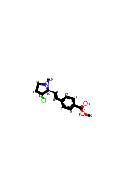 COC(=O)c1ccc(/C=C/[C@H]2[C@@H](Cl)CCN2C)cc1